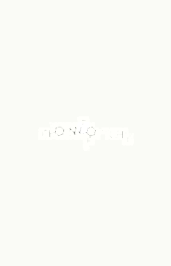 CCCCc1cc(F)c(/C=N/N=C/c2ccc(Cl)cc2)c(F)c1